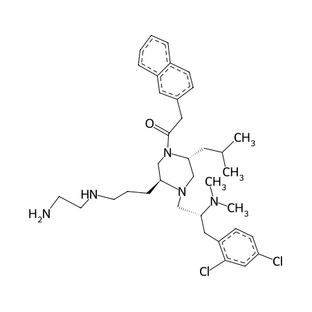 CC(C)C[C@@H]1CN(C[C@@H](Cc2ccc(Cl)cc2Cl)N(C)C)[C@@H](CCCNCCN)CN1C(=O)Cc1ccc2ccccc2c1